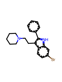 Brc1ccc2c(CCN3CCCCC3)c(-c3ccccc3)[nH]c2c1